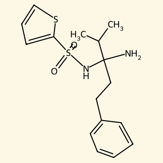 CC(C)C(N)(CCc1ccccc1)NS(=O)(=O)c1cccs1